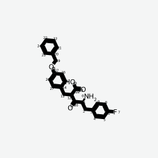 N[C@@H](Cc1ccc(F)cc1)C(=O)C(Cc1ccc(OCc2ccccc2)cc1)C(=O)O